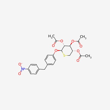 CC(=O)O[C@@H]1[C@@H](OC(C)=O)[C@H](OC(C)=O)CS[C@H]1Oc1ccc(Cc2ccc([N+](=O)[O-])cc2)cc1